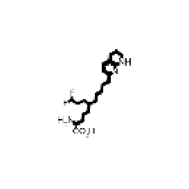 N[C@@H](CC/C=C(/CCCCCc1ccc2c(n1)NCCC2)CCC(F)F)C(=O)O